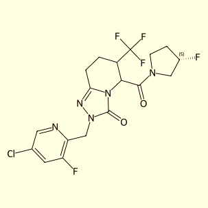 O=C(C1C(C(F)(F)F)CCc2nn(Cc3ncc(Cl)cc3F)c(=O)n21)N1CC[C@H](F)C1